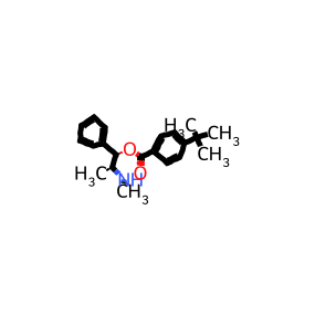 CN[C@H](C)[C@@H](OC(=O)c1ccc(C(C)(C)C)cc1)c1ccccc1